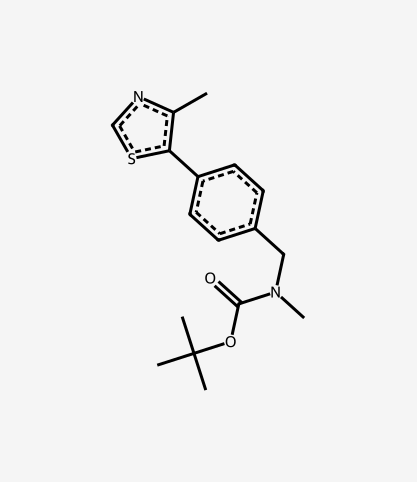 Cc1ncsc1-c1ccc(CN(C)C(=O)OC(C)(C)C)cc1